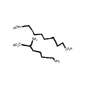 CCCCCCCCCCCCCCCCCC(=O)O.NCCCCC(N)C(=O)O